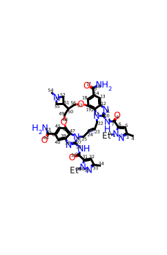 CCn1nc(C)cc1C(=O)Nc1nc2cc(C(N)=O)cc3c2n1C/C=C/Cn1c(NC(=O)c2cc(C)nn2CC)nc2cc(C(N)=O)cc(c21)OCC(C1CN(C)C1)CO3